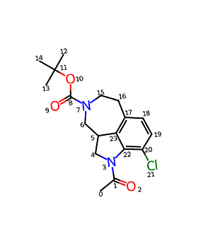 CC(=O)N1CC2CN(C(=O)OC(C)(C)C)CCc3ccc(Cl)c1c32